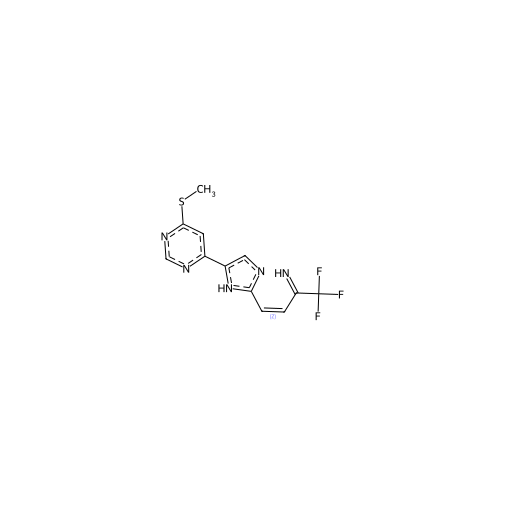 CSc1cc(-c2cnc(/C=C\C(=N)C(F)(F)F)[nH]2)ncn1